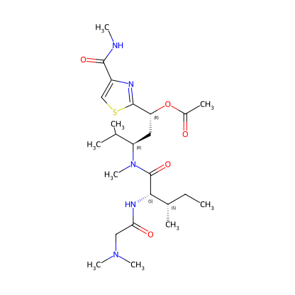 CC[C@H](C)[C@H](NC(=O)CN(C)C)C(=O)N(C)[C@H](C[C@@H](OC(C)=O)c1nc(C(=O)NC)cs1)C(C)C